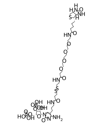 Nc1nc(=O)n([C@@H]2O[C@H](COP(=O)(O)O)C(OP(=O)(O)O)[C@@H]2O)cc1CCCNC(=O)CCSSCCNC(=O)CCOCCOCCOCCOCCNC(=O)CCCC[C@@H]1SC[C@@H]2NC(=O)N[C@@H]21